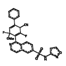 COC1(F)C=C(c2ccccc2)C(C#N)C(F)=C1c1nccc2cc(S(=O)(=O)Nc3ccon3)ccc12